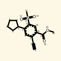 C#Cc1cc(C2CCCC2)c(S(C)(=O)=O)cc1C(=O)OC